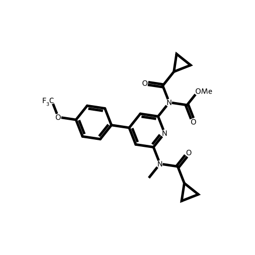 COC(=O)N(C(=O)C1CC1)c1cc(-c2ccc(OC(F)(F)F)cc2)cc(N(C)C(=O)C2CC2)n1